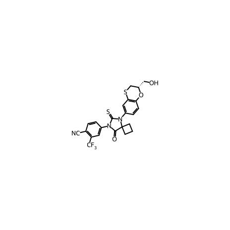 N#Cc1ccc(N2C(=O)C3(CCC3)N(c3ccc4c(c3)SC[C@H](CO)O4)C2=S)cc1C(F)(F)F